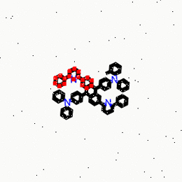 Cc1ccccc1N(c1ccccc1)c1ccc(C23c4ccc(-c5cccc(-c6ccccc6)n5)cc4C(c4ccc(N(c5ccccc5)c5ccccc5)cc4)(c4ccc(-c5cccc(-c6ccccc6)n5)cc42)c2cc(-c4cccc(-c5ccccc5)n4)ccc23)cc1